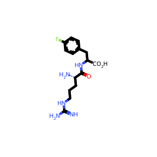 N=C(N)NCCC[C@H](N)C(=O)NC(Cc1ccc(F)cc1)C(=O)O